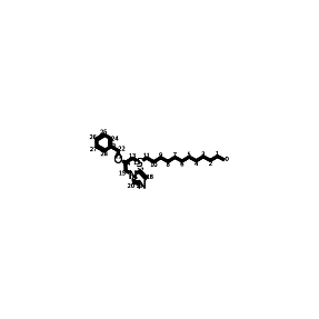 CCCCCCCCCCCCSCC(Cn1ccnc1)OCc1ccccc1